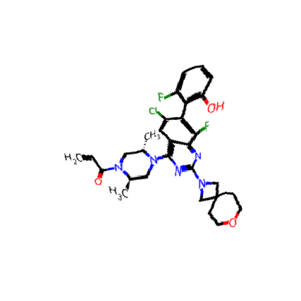 C=CC(=O)N1C[C@H](C)N(c2nc(N3CC4(CCOCC4)C3)nc3c(F)c(-c4c(O)cccc4F)c(Cl)cc23)C[C@H]1C